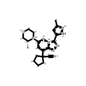 Cc1cc(-c2nsc3c(C4(C#N)CCCC4)cc(N4CCOC[C@H]4C)n[n+]23)[nH]n1